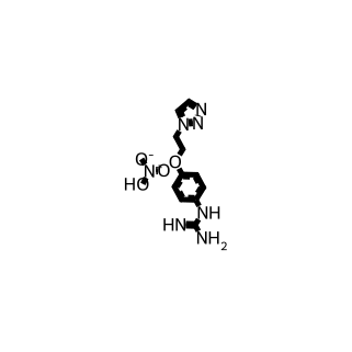 N=C(N)Nc1ccc(OCCn2ccnn2)cc1.O=[N+]([O-])O